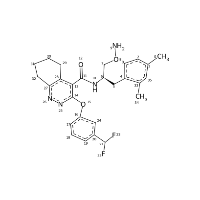 Cc1ccc(C[C@H](CON)NC(=O)c2c(Oc3cccc(C(F)F)c3)nnc3c2CCCC3)c(C)c1